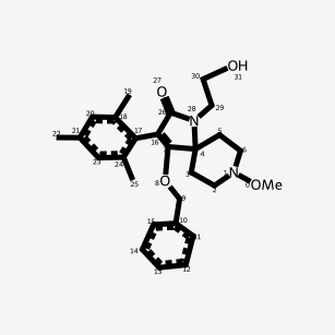 CON1CCC2(CC1)C(OCc1ccccc1)=C(c1c(C)cc(C)cc1C)C(=O)N2CCO